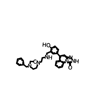 O=c1[nH]nc2cc(-c3ccc(O)c(CNCCN4CCN(Cc5ccccc5)CC4)c3)c3ccccc3n12